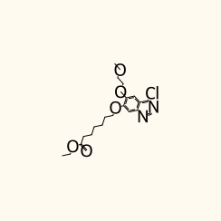 CCOC(=O)CCCCCCOc1cc2ncnc(Cl)c2cc1OCCOC